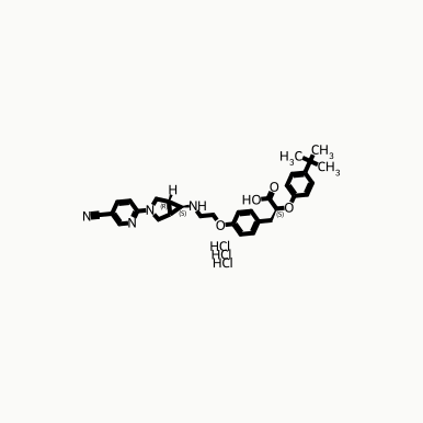 CC(C)(C)c1ccc(O[C@@H](Cc2ccc(OCCN[C@H]3C4CN(c5ccc(C#N)cn5)C[C@@H]43)cc2)C(=O)O)cc1.Cl.Cl.Cl